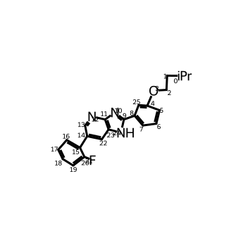 CC(C)CCOc1cccc(-c2nc3ncc(-c4ccccc4F)cc3[nH]2)c1